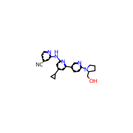 N#Cc1ccnc(Nc2cc(C3CC3)cc(-c3ccc(N4CCCC4CO)nc3)n2)c1